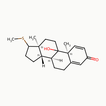 CSC1CC[C@H]2[C@@H]3CCC4=CC(=O)C=C[C@]4(C)C3(O)CC[C@]12C